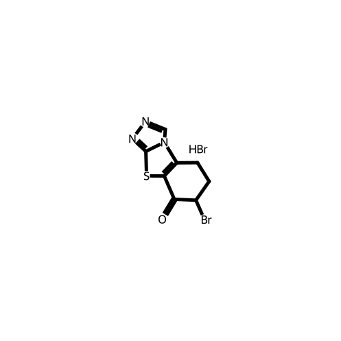 Br.O=C1c2sc3nncn3c2CCC1Br